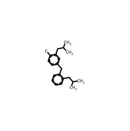 CC(C)Cc1cc(Cc2ccccc2CC(C)C)ccc1F